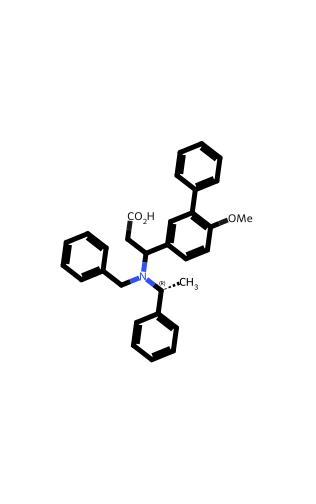 COc1ccc(C(CC(=O)O)N(Cc2ccccc2)[C@H](C)c2ccccc2)cc1-c1ccccc1